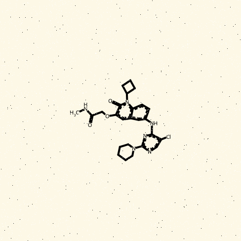 CNC(=O)COc1cc2cc(Nc3nc(N4CCCCC4)ncc3Cl)ccc2n(C2CCC2)c1=O